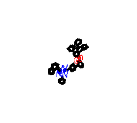 c1ccc(-c2nc(-c3ccc(-c4cccc5c4Oc4ccc6c(c4O5)-c4ccccc4C6(c4ccccc4)c4ccccc4)cc3)nc(-c3cccc4ccccc34)n2)cc1